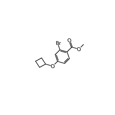 COC(=O)c1ccc(OC2CCC2)cc1Br